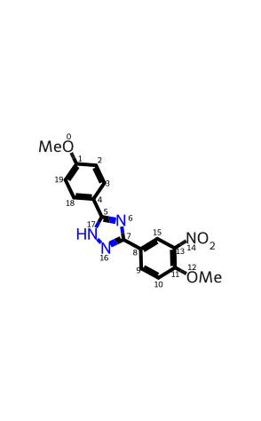 COc1ccc(-c2nc(-c3ccc(OC)c([N+](=O)[O-])c3)n[nH]2)cc1